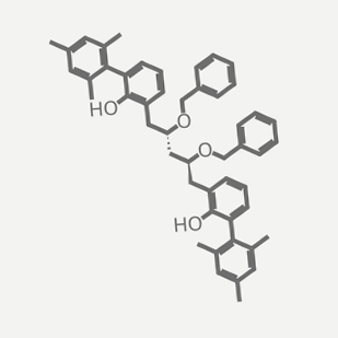 Cc1cc(C)c(-c2cccc(C[C@@H](C[C@H](Cc3cccc(-c4c(C)cc(C)cc4C)c3O)OCc3ccccc3)OCc3ccccc3)c2O)c(C)c1